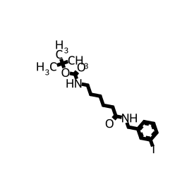 CC(C)(C)OC(=O)NCCCCCC(=O)NCc1cccc(I)c1